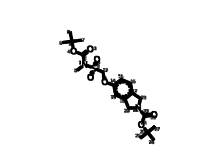 CN(C(=O)OC(C)(C)C)S(=O)(=O)COc1ccc2c(c1)CN(C(=O)OC(C)(C)C)C2